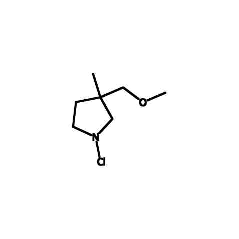 COCC1(C)CCN(Cl)C1